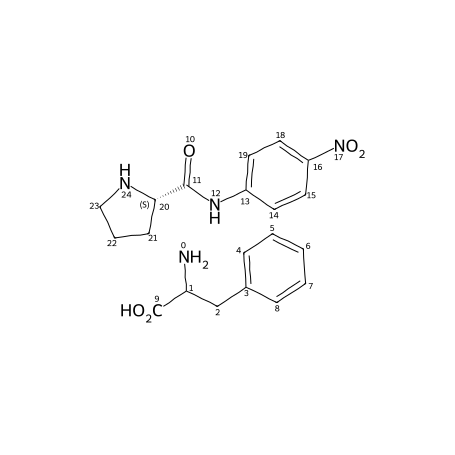 NC(Cc1ccccc1)C(=O)O.O=C(Nc1ccc([N+](=O)[O-])cc1)[C@@H]1CCCN1